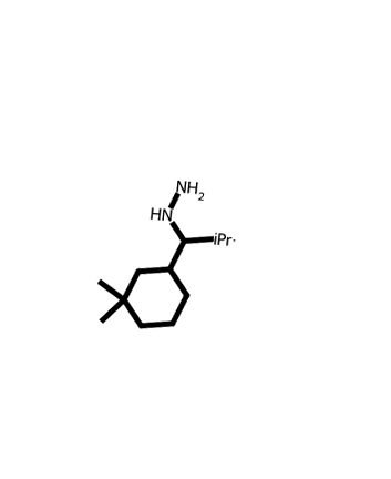 C[C](C)C(NN)C1CCCC(C)(C)C1